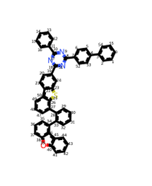 c1ccc(-c2ccc(-c3nc(-c4ccccc4)nc(-c4ccc5c(c4)sc4c(-c6ccccc6-c6cccc7oc8ccccc8c67)cccc45)n3)cc2)cc1